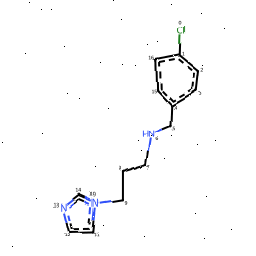 Clc1ccc(CNCCCn2ccnc2)cc1